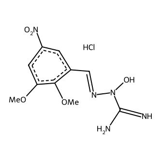 COc1cc([N+](=O)[O-])cc(C=NN(O)C(=N)N)c1OC.Cl